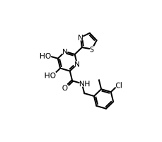 Cc1c(Cl)cccc1CNC(=O)c1nc(-c2nccs2)nc(O)c1O